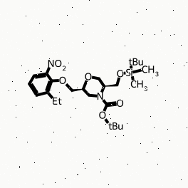 CCc1cccc([N+](=O)[O-])c1OC[C@@H]1CN(C(=O)OC(C)(C)C)[C@H](CO[Si](C)(C)C(C)(C)C)CO1